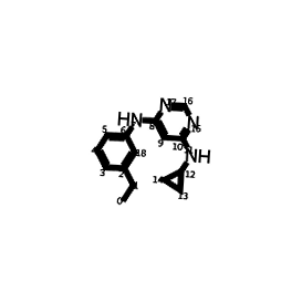 CCc1cccc(Nc2cc(NC3CC3)ncn2)c1